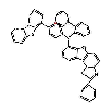 c1ccc(-c2nc3ccc4oc5c(N(c6ccc(-c7cccc8c7sc7ccccc78)cc6)c6ccccc6-c6ccccc6)cccc5c4c3o2)cc1